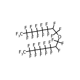 FC(C(F)(F)OC(F)(F)C(F)C(F)(F)C(F)(F)C(F)(F)C(F)(F)C(F)(F)C(F)(F)F)C(F)(F)C(F)(F)C(F)(F)C(F)(F)C(F)(F)C(F)(F)F